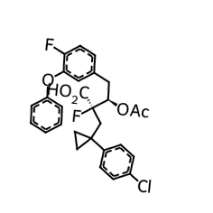 CC(=O)O[C@H](Cc1ccc(F)c(Oc2ccccc2)c1)[C@](F)(CC1(c2ccc(Cl)cc2)CC1)C(=O)O